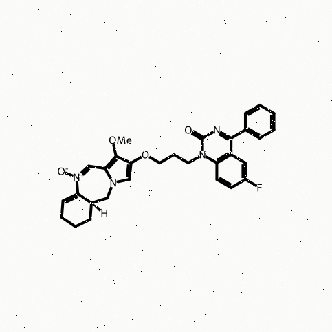 COc1c(OCCCn2c(=O)nc(-c3ccccc3)c3cc(F)ccc32)cn2c1C=[N+]([O-])C1=CCCC[C@H]1C2